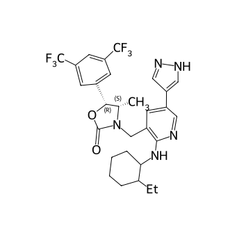 CCC1CCCCC1Nc1ncc(-c2cn[nH]c2)cc1CN1C(=O)O[C@H](c2cc(C(F)(F)F)cc(C(F)(F)F)c2)[C@@H]1C